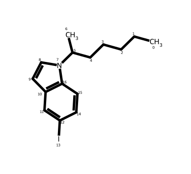 CCCCCC(C)n1ccc2cc(I)ccc21